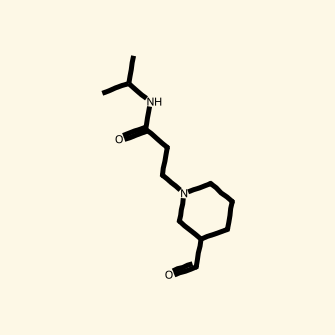 CC(C)NC(=O)CCN1CCCC(C=O)C1